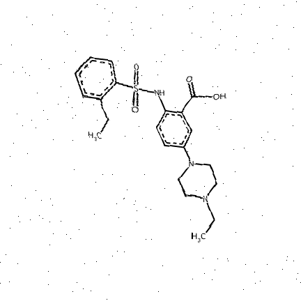 CCc1ccccc1S(=O)(=O)Nc1ccc(N2CCN(CC)CC2)cc1C(=O)O